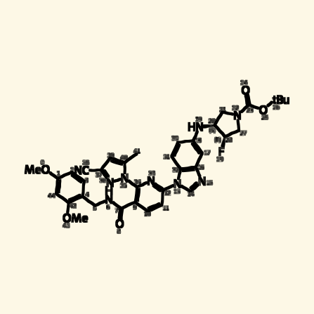 COc1ccc(CNC(=O)c2ccc(-n3cnc4cc(N[C@H]5CN(C(=O)OC(C)(C)C)C[C@H]5F)ccc43)nc2-n2nc(C#N)cc2C)c(OC)c1